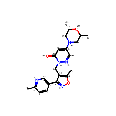 Cc1ccc(-c2noc(C)c2Cn2ncc(N3C[C@H](C)O[C@@H](C)C3)cc2=O)cn1